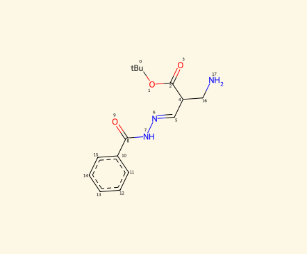 CC(C)(C)OC(=O)C(C=NNC(=O)c1ccccc1)CN